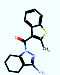 Cc1sc2ccccc2c1C(=O)n1nc(N)c2c1CCCC2